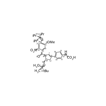 COc1cc(C(=O)N2C=C(c3ccc(NC(=O)O)cc3)C[C@H]2CO[Si](C)(C)C(C)(C)C)c([N+](=O)[O-])cc1O[Si](C(C)C)(C(C)C)C(C)C